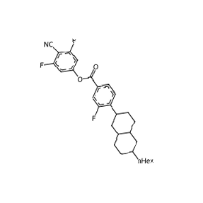 CCCCCCC1CCC2CC(c3ccc(C(=O)Oc4cc(F)c(C#N)c(F)c4)cc3F)CCC2C1